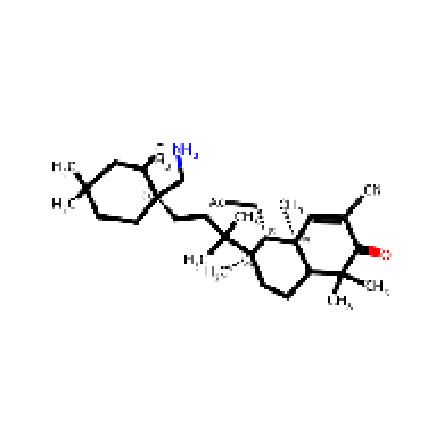 CC(=O)C[C@@H]1[C@@]2(C)C=C(C#N)C(=O)C(C)(C)C2CC[C@@]1(C)C(C)(C)CC[C@@]1(CN)CCC(C)(C)CC1C